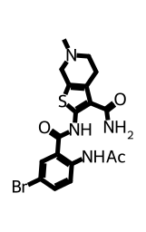 CC(=O)Nc1ccc(Br)cc1C(=O)Nc1sc2c(c1C(N)=O)CCN(C)C2